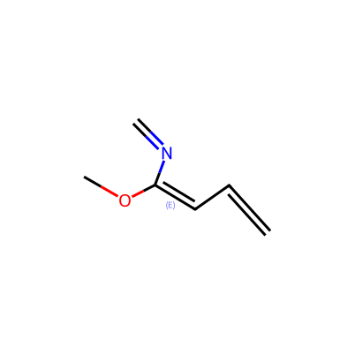 C=C/C=C(\N=C)OC